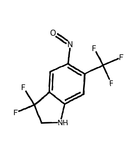 O=Nc1cc2c(cc1C(F)(F)F)NCC2(F)F